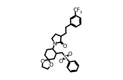 O=C1C(CCc2cccc(C(F)(F)F)c2)CCN1C1CCC2(CC1CS(=O)(=O)c1ccccc1)OCCO2